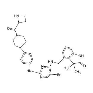 CC1(C)C(=O)Nc2cccc(CNc3nc(Nc4ccc(C5CCN(C(=O)C6CCN6)CC5)cc4)ncc3Br)c21